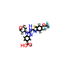 O=C(O)c1ccc2c(c1)nc(Nc1nc3ccc(OC(F)(F)F)cc3s1)n2C1CCOCC1